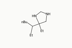 CCCCC(CC)C1(CC)CNCN1